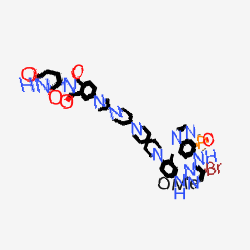 COc1cc(N2CCC3(CC2)CCN(C2CCN(C4CN(c5ccc6c(c5)C(=O)N(C5CCC(=O)NC5=O)C6=O)C4)CC2)CC3)c(C)cc1Nc1ncc(Br)c(Nc2ccc3nccnc3c2P(C)(C)=O)n1